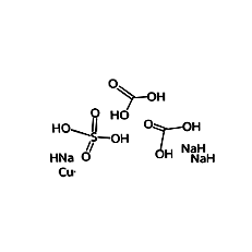 O=C(O)O.O=C(O)O.O=S(=O)(O)O.[Cu].[NaH].[NaH].[NaH]